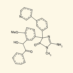 COc1ccc(C2(c3cccc(-c4cccnc4)c3)N=C(N)N(C)C2=O)cc1C(O)C(=O)c1ccccc1